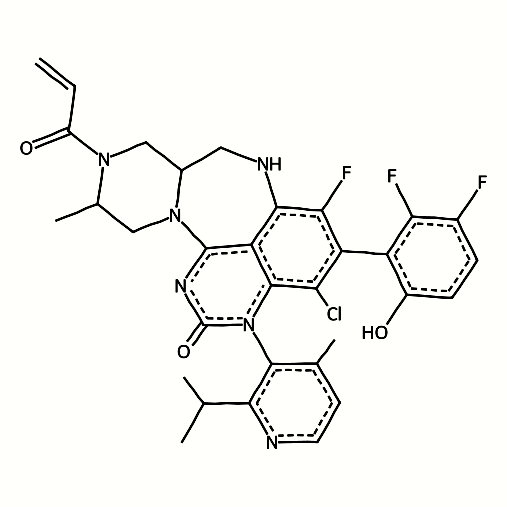 C=CC(=O)N1CC2CNc3c(F)c(-c4c(O)ccc(F)c4F)c(Cl)c4c3c(nc(=O)n4-c3c(C)ccnc3C(C)C)N2CC1C